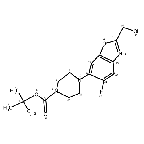 CC(C)(C)OC(=O)N1CCN(c2cc3oc(CO)nc3cc2F)CC1